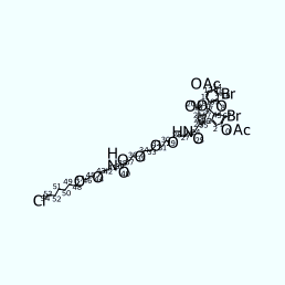 CC(=O)Oc1ccc2c(c1Br)Oc1c(ccc(OC(C)=O)c1Br)C21OC(=O)c2cc(C(=O)NCCOCCOCCOCCOC(=O)NCCOCCOCCCCCCCl)ccc21